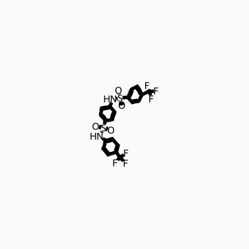 O=S(=O)(Nc1ccc(C(F)(F)F)cc1)c1ccc(NS(=O)(=O)c2ccc(C(F)(F)F)cc2)cc1